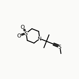 CS#CC(C)(C)N1CCS(=O)(=O)CC1